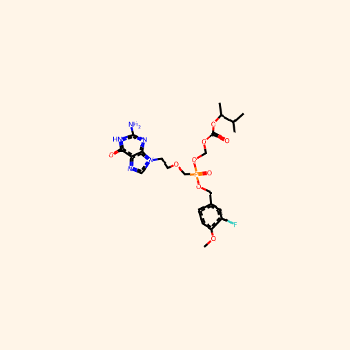 COc1ccc(COP(=O)(COCCn2cnc3c(=O)[nH]c(N)nc32)OCOC(=O)OC(C)C(C)C)cc1F